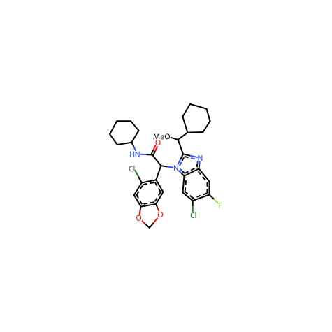 COC(c1nc2cc(F)c(Cl)cc2n1C(C(=O)NC1CCCCC1)c1cc2c(cc1Cl)OCO2)C1CCCCC1